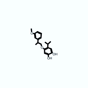 COc1cccc(C(C)COc2cc(O)c(O)cc2C(C)C)c1